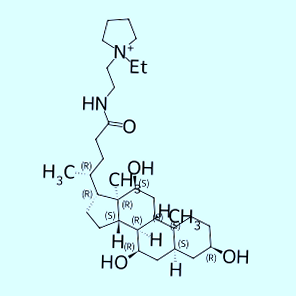 CC[N+]1(CCNC(=O)CC[C@@H](C)[C@H]2CC[C@H]3[C@@H]4[C@H](O)C[C@@H]5C[C@H](O)CC[C@]5(C)[C@H]4C[C@H](O)[C@]23C)CCCC1